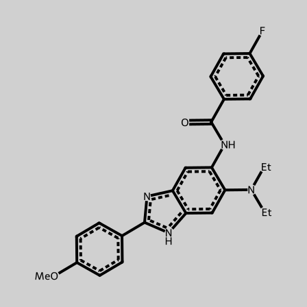 CCN(CC)c1cc2[nH]c(-c3ccc(OC)cc3)nc2cc1NC(=O)c1ccc(F)cc1